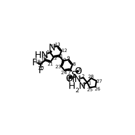 NC1(CNS(=O)(=O)c2ccc(-c3ccnc4[nH]c(C(F)F)cc34)cc2)CCCC1